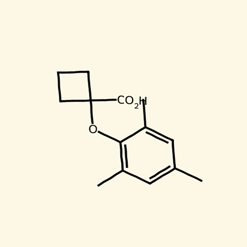 Cc1cc(C)c(OC2(C(=O)O)CCC2)c(C)c1